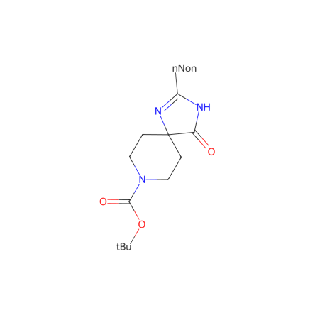 CCCCCCCCCC1=NC2(CCN(C(=O)OC(C)(C)C)CC2)C(=O)N1